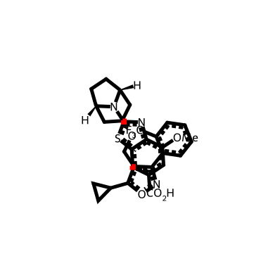 COc1cc(C(=O)O)cc2sc(N3[C@@H]4CC[C@H]3C[C@@H](OCc3c(-c5ccccc5C(F)(F)F)noc3C3CC3)C4)nc12